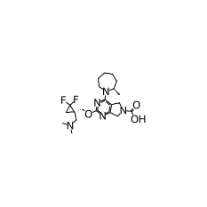 C[C@@H]1CCCCCN1c1nc(OC[C@]2(CN(C)C)CC2(F)F)nc2c1CN(C(=O)O)C2